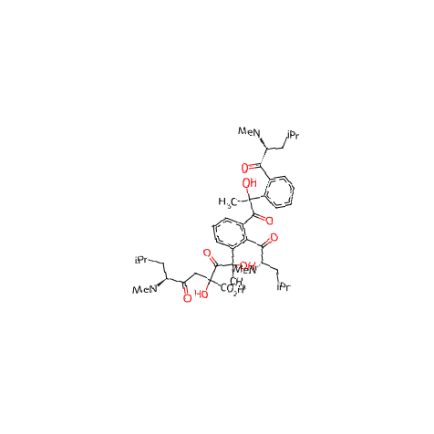 CN[C@@H](CC(C)C)C(=O)CC(O)(C(=O)O)C(=O)C(C)(O)c1cccc(C(=O)C(C)(O)c2ccccc2C(=O)[C@H](CC(C)C)NC)c1C(=O)[C@H](CC(C)C)NC